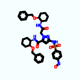 O=Nc1ccc(S(=O)(=O)Nc2cc(C(=O)N[C@H]3CCCC[C@@H]3OCc3ccccc3)n(CC(=O)N[C@H]3CCCC[C@@H]3OCc3ccccc3)n2)cc1